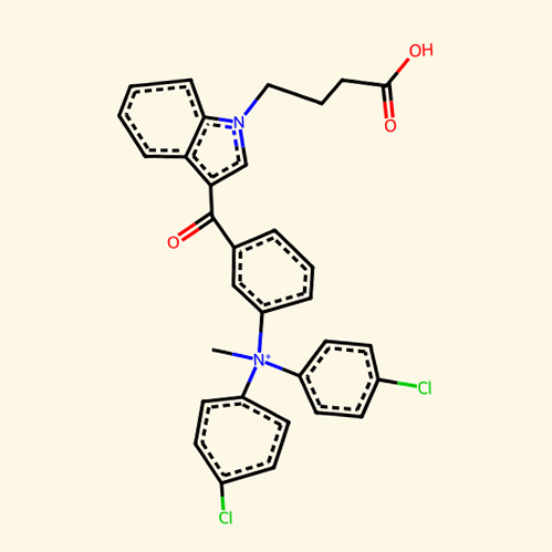 C[N+](c1ccc(Cl)cc1)(c1ccc(Cl)cc1)c1cccc(C(=O)c2cn(CCCC(=O)O)c3ccccc23)c1